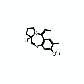 CC=C1c2cc(C)c(O)cc2N=C[C@@H]2CCCN12